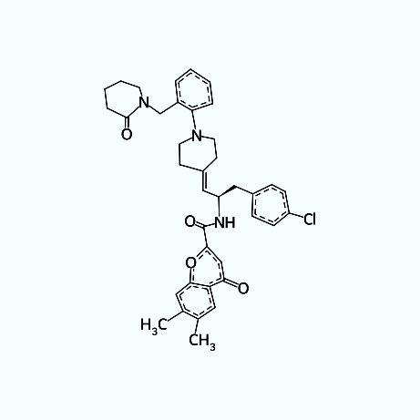 Cc1cc2oc(C(=O)N[C@@H](C=C3CCN(c4ccccc4CN4CCCCC4=O)CC3)Cc3ccc(Cl)cc3)cc(=O)c2cc1C